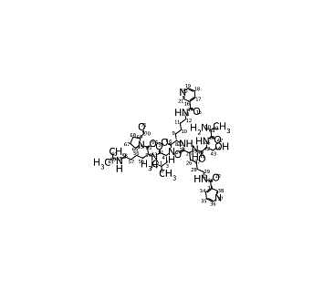 CC(C)C[C@H](NC(=O)[C@@H](CCCCNC(=O)c1cccnc1)NC(=O)[C@H](CCCCNC(=O)c1cccnc1)NC(=O)[C@H](CO)NC(=O)[C@H](C)N)C(=O)N[C@@H](CCCCNC(C)C)C(=O)N1CCC[C@H]1[C]=O